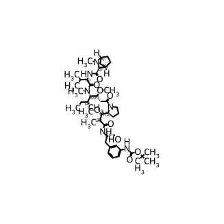 CC[C@H](C)[C@@H]([C@@H](CC(=O)N1CCC[C@H]1[C@H](OC)[C@@H](C)C(=O)N[C@H](CO)Cc1cccc(NC(=O)OC(C)(C)C)c1)OC)N(C)C(=O)[C@@H](NC(=O)[C@@H]1[C@H]2CC[C@H](C2)N1C)C(C)C